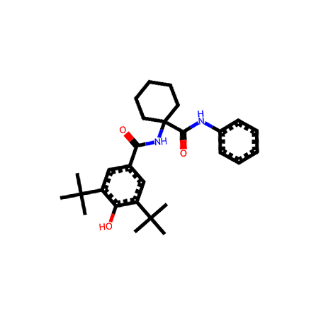 CC(C)(C)c1cc(C(=O)NC2(C(=O)Nc3ccccc3)CCCCC2)cc(C(C)(C)C)c1O